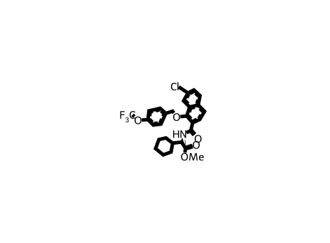 COC(=O)[C@@H](NC(=O)c1ccc2ccc(Cl)cc2c1OCc1ccc(OC(F)(F)F)cc1)C1CCCCC1